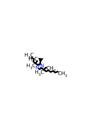 CCCCCCCC(C)(CC)c1cnc(C(C)(CC)CCCC)c(C2CC2)n1